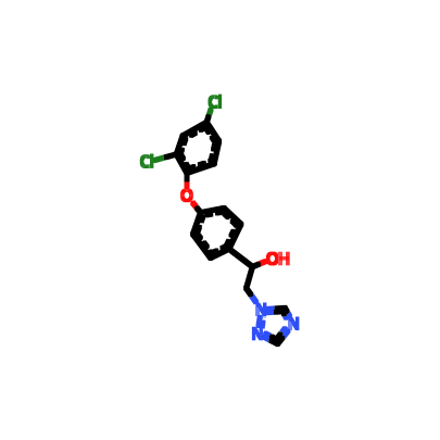 OC(Cn1cncn1)c1ccc(Oc2ccc(Cl)cc2Cl)cc1